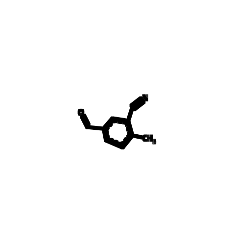 Cc1ccc(C=O)cc1C#N